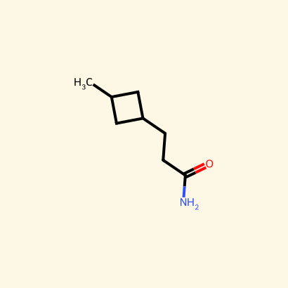 CC1CC(CCC(N)=O)C1